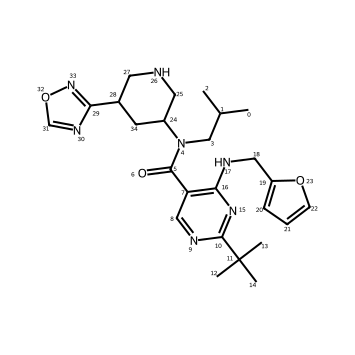 CC(C)CN(C(=O)c1cnc(C(C)(C)C)nc1NCc1ccco1)C1CNCC(c2ncon2)C1